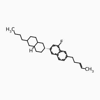 C/C=C/CCc1ccc2cc([C@@H]3CC[C@@H]4CC(CCCC)CCC4C3)cc(F)c2c1